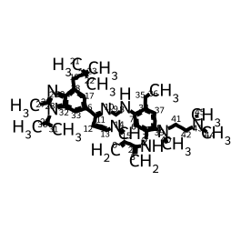 C=CC(=C)Nc1cc(NC/N=C(\C=C/N=C)c2cc(CC(C)(C)C)c3nc(C)n(C(C)C)c3c2)c(CC)cc1N(C)CCN(C)C